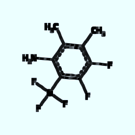 Cc1c(C)c(F)c(F)c([Si](F)(F)F)c1N